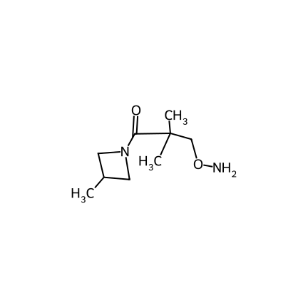 CC1CN(C(=O)C(C)(C)CON)C1